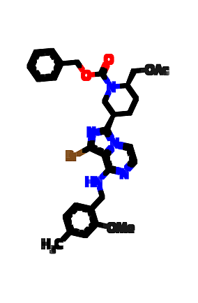 COc1cc(C)ccc1CNc1nccn2c([C@@H]3CC[C@H](COC(C)=O)N(C(=O)OCc4ccccc4)C3)nc(Br)c12